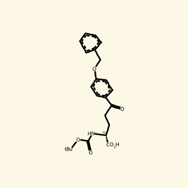 CC(C)(C)OC(=O)N[C@@H](CCC(=O)c1ccc(OCc2ccccc2)cc1)C(=O)O